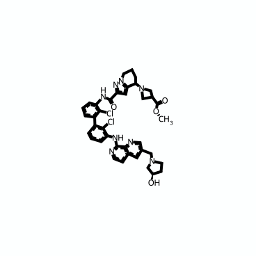 COC(=O)C1CN(C2CCCn3nc(C(=O)Nc4cccc(-c5cccc(Nc6nccc7cc(CN8CC[C@@H](O)C8)cnc67)c5Cl)c4Cl)cc32)C1